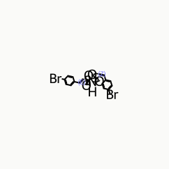 O=S(=O)(/C=C\c1ccc(Br)cc1)NS(=O)(=O)/C=C/c1ccc(Br)cc1